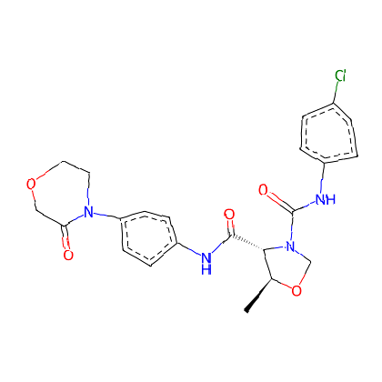 C[C@@H]1OCN(C(=O)Nc2ccc(Cl)cc2)[C@H]1C(=O)Nc1ccc(N2CCOCC2=O)cc1